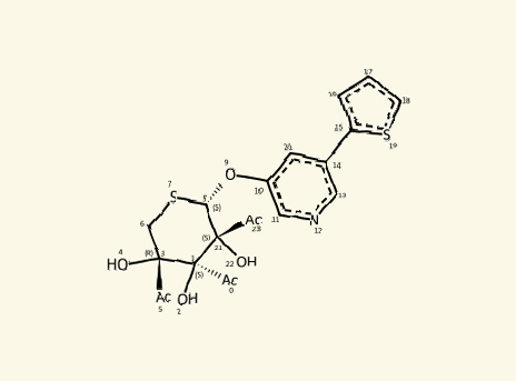 CC(=O)[C@]1(O)[C@@](O)(C(C)=O)CS[C@H](Oc2cncc(-c3cccs3)c2)[C@@]1(O)C(C)=O